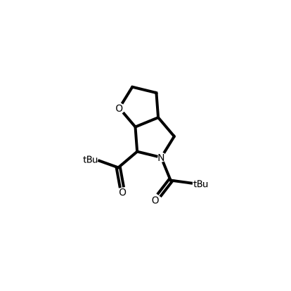 CC(C)(C)C(=O)C1C2OCCC2CN1C(=O)C(C)(C)C